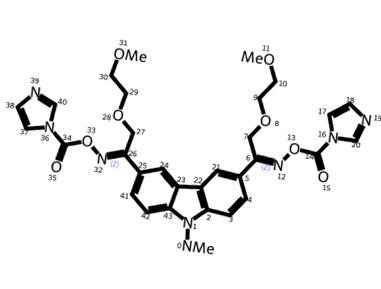 CNn1c2ccc(/C(COCCOC)=N/OC(=O)n3ccnc3)cc2c2cc(/C(COCCOC)=N/OC(=O)n3ccnc3)ccc21